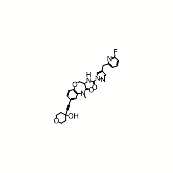 CN1C(=O)[C@H](NC(=O)n2cc(Cc3cccc(F)n3)cn2)COc2ccc(C#CC3(O)CCOCC3)cc21